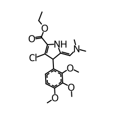 CCOC(=O)C1=C(Cl)C(c2ccc(OC)c(OC)c2OC)C(=CN(C)C)N1